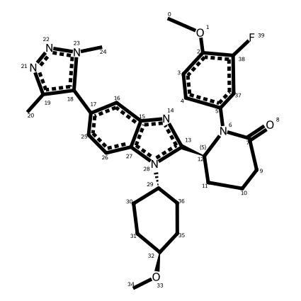 COc1ccc(N2C(=O)CCC[C@H]2c2nc3cc(-c4c(C)nnn4C)ccc3n2[C@H]2CC[C@H](OC)CC2)cc1F